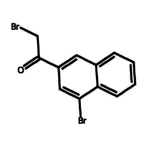 O=C(CBr)c1cc(Br)c2ccccc2c1